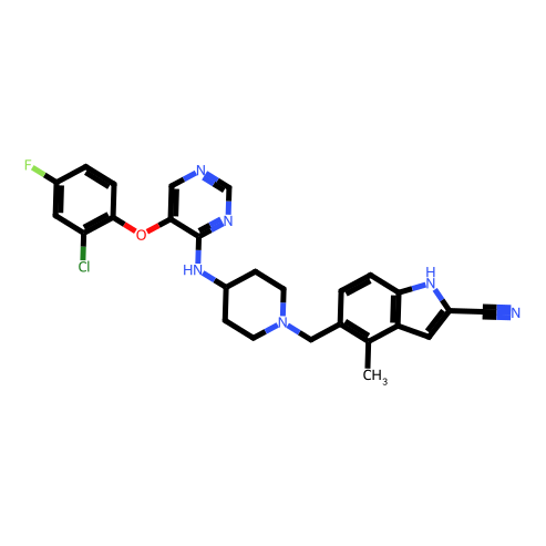 Cc1c(CN2CCC(Nc3ncncc3Oc3ccc(F)cc3Cl)CC2)ccc2[nH]c(C#N)cc12